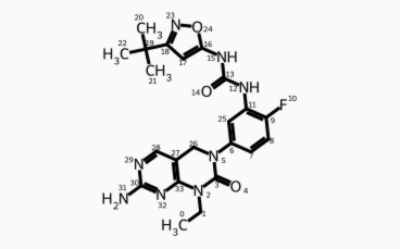 CCN1C(=O)N(c2ccc(F)c(NC(=O)Nc3cc(C(C)(C)C)no3)c2)Cc2cnc(N)nc21